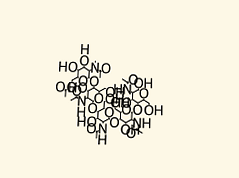 CC(=O)NC1C(O)OC(CO)C(OC2OC(CO)C(OC3OC(CO)C(OC4OC(CO)C(OC5OC(COC(C)=O)C(O)C(O)C5N(C)C(C)=O)C(O)C4NC(C)=O)C(O)C3NC(C)=O)C(O)C2NC(C)=O)C1O